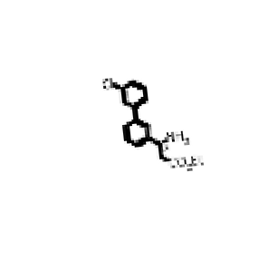 CCOC(=O)C[C@H](N)c1cccc(-c2cccc(Cl)c2)c1